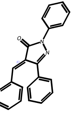 O=C1/C(=C/c2ccccc2)C(c2ccccc2)=NN1c1ccccc1